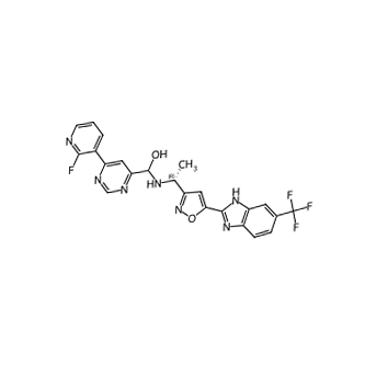 C[C@@H](NC(O)c1cc(-c2cccnc2F)ncn1)c1cc(-c2nc3ccc(C(F)(F)F)cc3[nH]2)on1